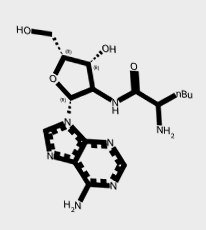 CCCCC(N)C(=O)NC1[C@@H](O)[C@@H](CO)O[C@H]1n1cnc2c(N)ncnc21